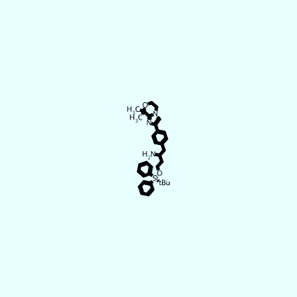 CC1(C)OCCn2cc(-c3ccc(CC(N)CCO[Si](c4ccccc4)(c4ccccc4)C(C)(C)C)cc3)nc21